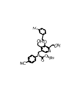 CC(C)(C)OC(=O)N(Cc1cnc(CO)c(OCc2cccc(C#N)c2)c1CO)c1ccc(C#N)cc1